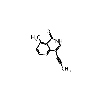 CC#Cc1c[nH]c(=O)c2c(C)cccc12